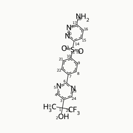 CC(O)(c1cnc(-c2ccc(S(=O)(=O)c3ccc(N)nn3)cc2)nc1)C(F)(F)F